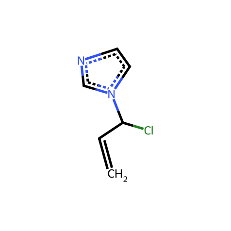 C=CC(Cl)n1ccnc1